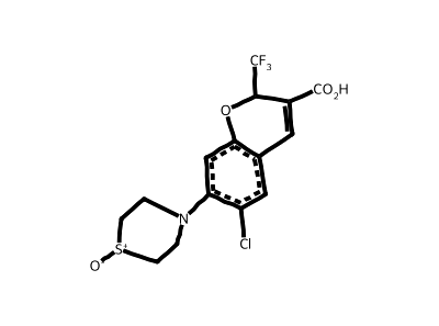 O=C(O)C1=Cc2cc(Cl)c(N3CC[S+]([O-])CC3)cc2OC1C(F)(F)F